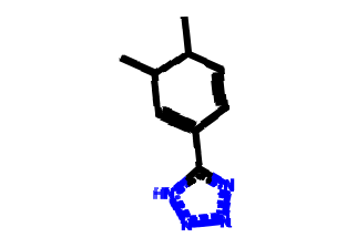 CC1C=CC(c2nnn[nH]2)=CC1C